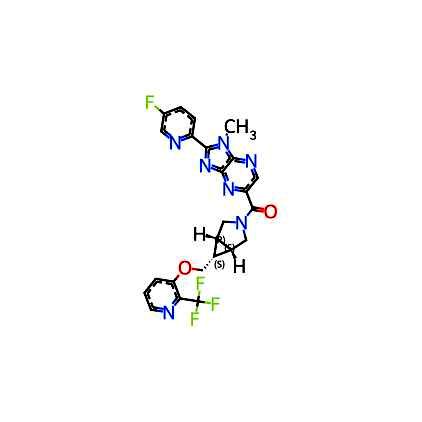 Cn1c(-c2ccc(F)cn2)nc2nc(C(=O)N3C[C@@H]4[C@H](COc5cccnc5C(F)(F)F)[C@@H]4C3)cnc21